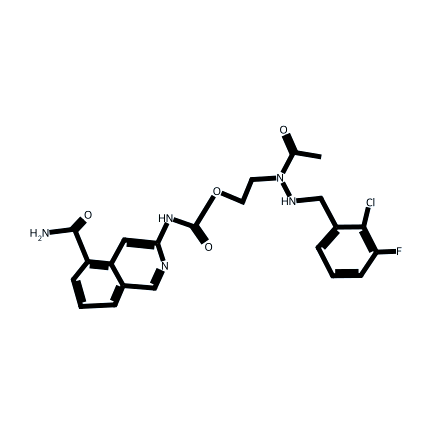 CC(=O)N(CCOC(=O)Nc1cc2c(C(N)=O)cccc2cn1)NCc1cccc(F)c1Cl